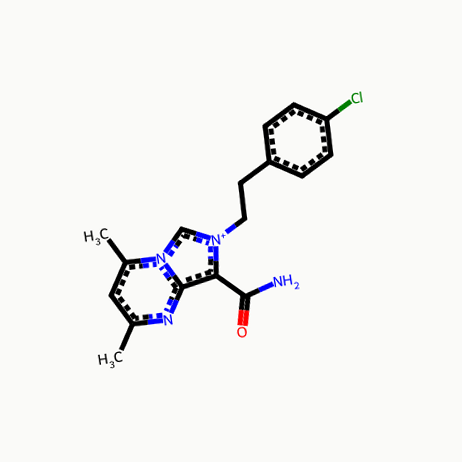 Cc1cc(C)n2c[n+](CCc3ccc(Cl)cc3)c(C(N)=O)c2n1